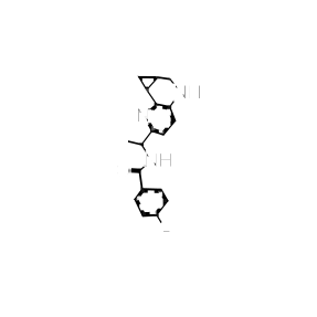 CC(NC(=O)c1ccc(F)cc1)c1ccc2c(n1)C1CC1CN2